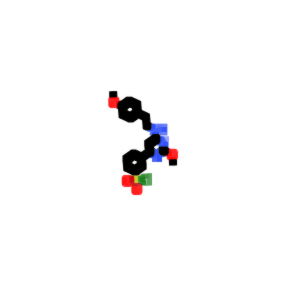 COc1ccc(CCNc2cc(-c3cccc(S(=O)(=O)Cl)c3)nc(OC)n2)cc1